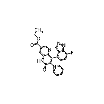 CCOC(=O)c1cnc2c(-c3ccc(F)c4[nH]ncc34)c(-[n+]3ccccc3)c(=O)[nH]c2c1